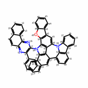 c1ccc(-c2nc3ccc4ccccc4c3nc2-n2c3c4ccccc4cc4c5cccc6c7ccccc7n(c7cc8c9ccccc9oc8c2c7c43)c56)cc1